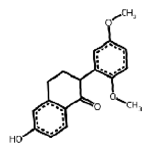 COc1ccc(OC)c(C2CCc3cc(O)ccc3C2=O)c1